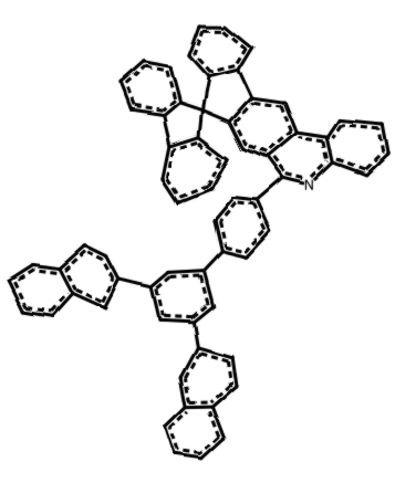 c1ccc2c(c1)-c1ccccc1C21c2ccccc2-c2cc3c(cc21)c(-c1ccc(-c2cc(-c4ccc5ccccc5c4)cc(-c4ccc5ccccc5c4)c2)cc1)nc1ccccc13